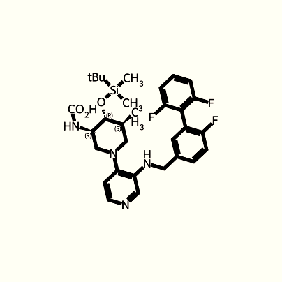 C[C@H]1CN(c2ccncc2NCc2ccc(F)c(-c3c(F)cccc3F)c2)C[C@@H](NC(=O)O)[C@@H]1O[Si](C)(C)C(C)(C)C